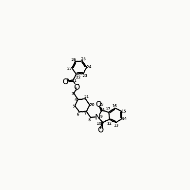 O=C(OCC1CCC(CN2C(=O)c3ccccc3C2=O)CC1)c1ccccc1